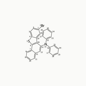 Brc1ccc2sc3c4ccccc4cc(N(c4ccccc4)c4ccccc4)c3c2c1